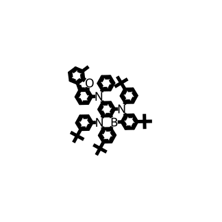 Cc1cccc2c1oc1c(N(c3ccccc3)c3cc4c5c(c3)N(c3cccc(C(C)(C)C)c3)c3cc(C(C)(C)C)ccc3B5c3ccc(C(C)(C)C)cc3N4c3cccc(C(C)(C)C)c3)cccc12